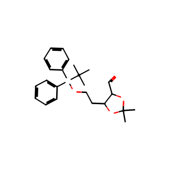 CC1(C)OC(C=O)C(CCO[Si](c2ccccc2)(c2ccccc2)C(C)(C)C)O1